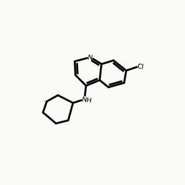 Clc1ccc2c(NC3C[CH]CCC3)ccnc2c1